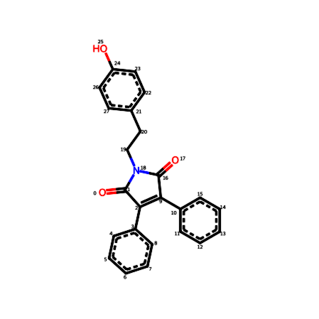 O=C1C(c2ccccc2)=C(c2ccccc2)C(=O)N1CCc1ccc(O)cc1